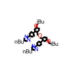 CCCCc1cnc(-c2ccc(-c3cc(OCC(C)CC)ccc3COCc3ccc(OCC(C)CC)cc3-c3ccc(-c4ncc(CCCC)cn4)cc3)cc2)nc1